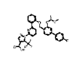 COC(C)Oc1cc(-c2ccc(F)cc2)ccc1COc1ccccc1-c1cccc(-n2ncc(C(=O)O)c2C(F)(F)F)n1